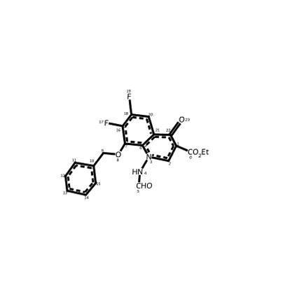 CCOC(=O)c1cn(NC=O)c2c(OCc3ccccc3)c(F)c(F)cc2c1=O